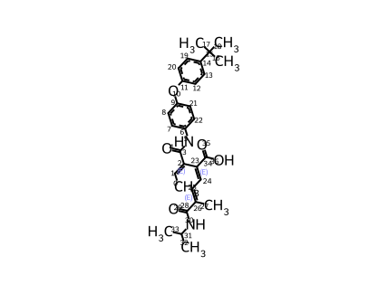 C\C=C(C(=O)Nc1ccc(Oc2ccc(C(C)(C)C)cc2)cc1)/C(=C\C=C(/C)C(=O)NC(C)C)C(=O)O